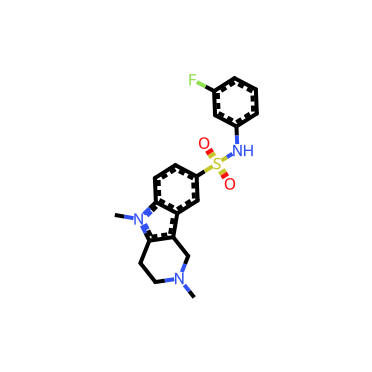 CN1CCc2c(c3cc(S(=O)(=O)Nc4cccc(F)c4)ccc3n2C)C1